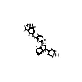 c1ccc2c(c1)c(C1CCNCC1)cn2-c1nccc(Nc2ccc3[nH]ncc3c2)n1